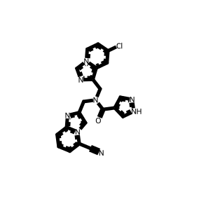 N#Cc1cccc2nc(CN(Cc3ncn4ccc(Cl)cc34)C(=O)c3cn[nH]c3)cn12